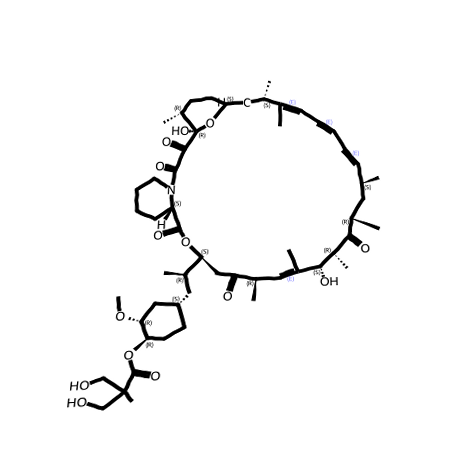 CO[C@@H]1C[C@H](C[C@@H](C)[C@@H]2CC(=O)[C@H](C)/C=C(\C)[C@@H](O)[C@@H](C)C(=O)[C@H](C)C[C@H](C)/C=C/C=C/C=C(\C)[C@@H](C)C[C@@H]3CC[C@@H](C)[C@@](O)(O3)C(=O)C(=O)N3CCCC[C@H]3C(=O)O2)CC[C@H]1OC(=O)C(C)(CO)CO